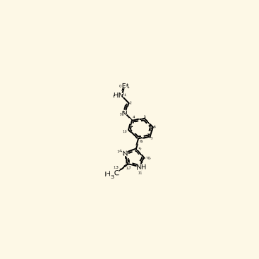 CCN/C=N/c1cccc(-c2c[nH]c(C)n2)c1